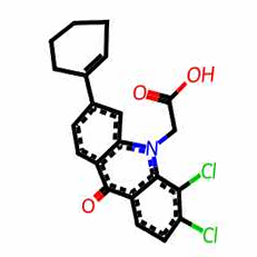 O=C(O)Cn1c2cc(C3=CCCCC3)ccc2c(=O)c2ccc(Cl)c(Cl)c21